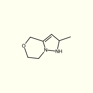 CC1C=C2COCCN2N1